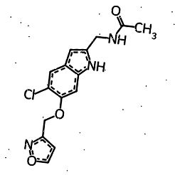 CC(=O)NCc1cc2cc(Cl)c(OCc3ccon3)cc2[nH]1